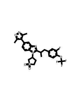 Cc1noc(C)c1-c1ccc2c(c1)nc(C(C)Cc1ccc(OC(F)(F)F)c(F)c1)n2C1CCS(=O)(=O)C1